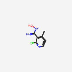 Cc1ccnc(Cl)c1C(=N)NO